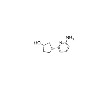 Nc1cccc(N2CCC(O)C2)n1